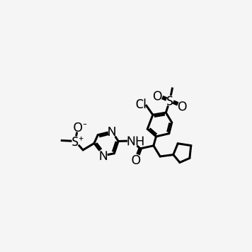 C[S+]([O-])Cc1cnc(NC(=O)C(CC2CCCC2)c2ccc(S(C)(=O)=O)c(Cl)c2)cn1